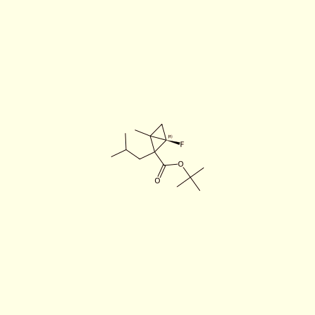 CC(C)CC1(C(=O)OC(C)(C)C)C2(C)C[C@@]21F